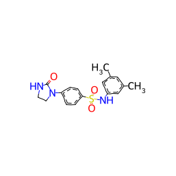 Cc1cc(C)cc(NS(=O)(=O)c2ccc(N3CCNC3=O)cc2)c1